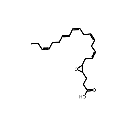 CC/C=C\CC/C=C/C=C\C/C=C\C/C=C\CC1OC1CCC(=O)O